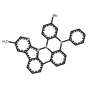 Cc1cnc2c(c1)c1cccc3c1n2B1c2ccc(C(C)(C)C)cc2N(c2ccccc2)c2cccc-3c21